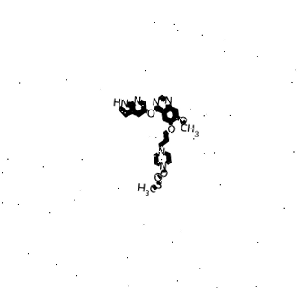 COc1cc2ncnc(Oc3cnc4[nH]ccc4c3)c2cc1OCCCN1CCN(OOSC)CC1